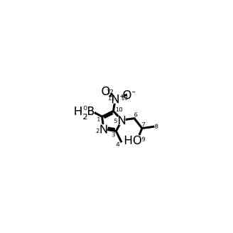 Bc1nc(C)n(CC(C)O)c1[N+](=O)[O-]